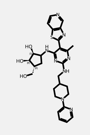 Cc1nc(NCC2CCN(c3ccccn3)CC2)nc(NC2C[C@H](CO)[C@@H](O)[C@H]2O)c1-c1nc2cnccc2s1